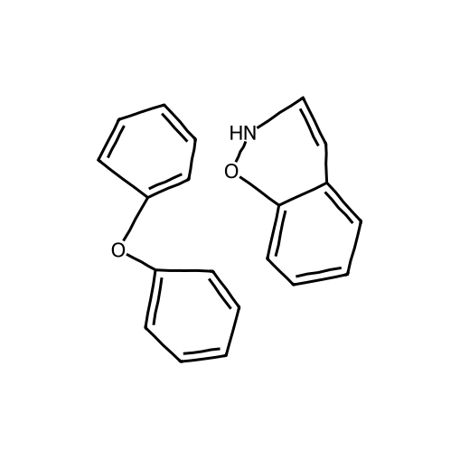 C1=Cc2ccccc2ON1.c1ccc(Oc2ccccc2)cc1